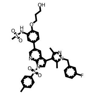 Cc1ccc(S(=O)(=O)n2cc(-c3c(C)nn(Cc4cccc(F)c4)c3C)c3cc(-c4ccc(OCCCO)c(NS(C)(=O)=O)c4)cnc32)cc1